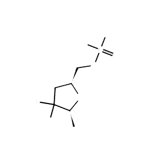 C[C@@H]1O[C@H](COP(=O)(O)O)CC1(F)F